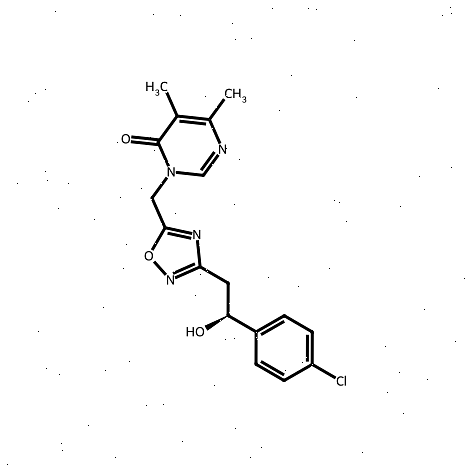 Cc1ncn(Cc2nc(C[C@H](O)c3ccc(Cl)cc3)no2)c(=O)c1C